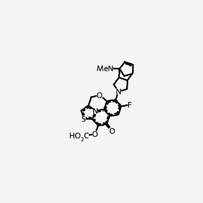 CNC12C=CC(C1)C1CN(c3c(F)cc4c(=O)c(OC(=O)O)c5scc6n5c4c3OC6)CC12